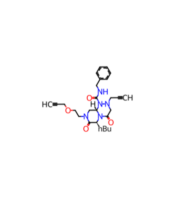 C#CCOCCN1C[C@H]2N(C(=O)CN(CC#C)N2C(=O)NCc2ccccc2)[C@@H](CCCC)C1=O